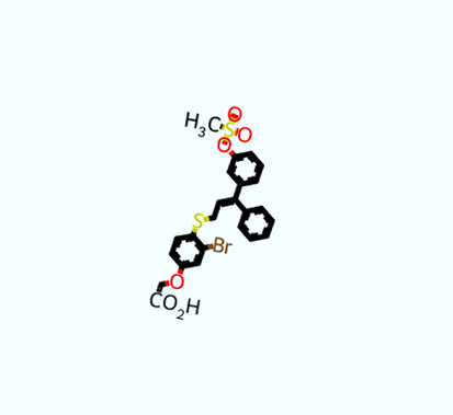 CS(=O)(=O)Oc1cccc(C(=CCSc2ccc(OCC(=O)O)cc2Br)c2ccccc2)c1